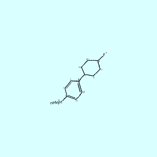 CCCCCCCc1ccc(C2CCC(F)CC2)cc1